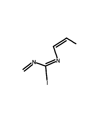 C=N/C(I)=N\C=C/C